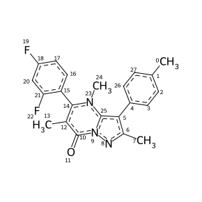 Cc1ccc(-c2c(C)nn3c(=O)c(C)c(-c4ccc(F)cc4F)n(C)c23)cc1